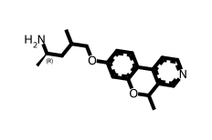 CC(COc1ccc2c(c1)OC(C)c1cnccc1-2)C[C@@H](C)N